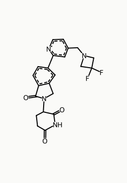 O=C1CCC(N2Cc3cc(-c4cc(CN5CC(F)(F)C5)ccn4)ccc3C2=O)C(=O)N1